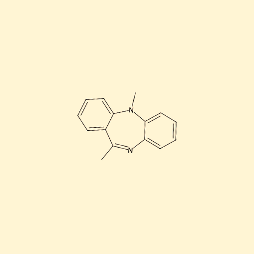 CC1=Nc2ccccc2N(C)c2ccccc21